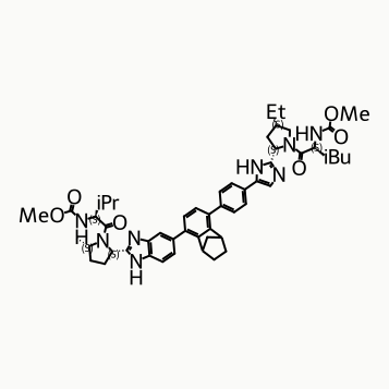 CCC(C)[C@H](NC(=O)OC)C(=O)N1C[C@@H](CC)C[C@H]1c1ncc(-c2ccc(-c3ccc(-c4ccc5[nH]c([C@@H]6CC[C@H](C)N6C(=O)[C@@H](NC(=O)OC)C(C)C)nc5c4)c4c3C3CCC4C3)cc2)[nH]1